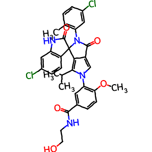 COc1ccc(C(=O)NCCO)cc1-n1cc2c(c1C(C)C)C1(C(=O)Nc3cc(Cl)ccc31)N(c1cc(Cl)ccc1C)C2=O